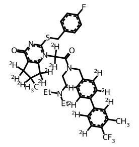 [2H]c1c([2H])c(-c2c([2H])c([2H])c(C(F)(F)F)c(C)c2[2H])c([2H])c([2H])c1CN(CCN(CC)CC)C(=O)C([2H])([2H])n1c(SCc2ccc(F)cc2)nc(=O)c2c1C([2H])([2H])C([2H])(C)C2([2H])[2H]